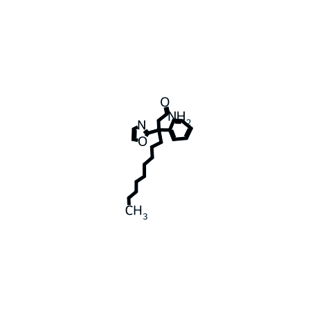 CCCCCCCCCC(CC(N)=O)(c1ccccc1)c1ncco1